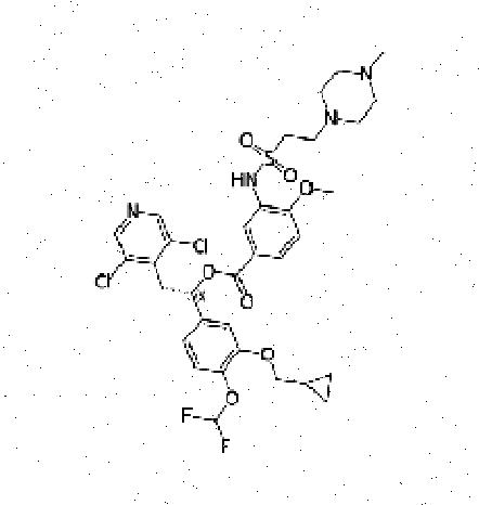 COc1ccc(C(=O)O[C@@H](Cc2c(Cl)cncc2Cl)c2ccc(OC(F)F)c(OCC3CC3)c2)cc1NS(=O)(=O)CCN1CCN(C)CC1